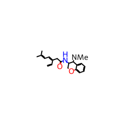 C=C/C(=C\C=C(C)C)CC(=O)NC1COc2ccccc2C1NC